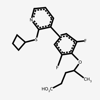 CC(CCC(=O)O)Oc1c(F)cc(-c2cccnc2SC2CCC2)cc1F